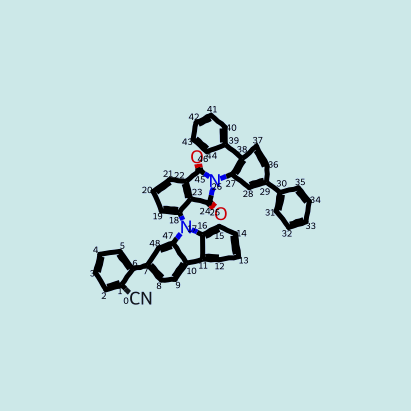 N#Cc1ccccc1-c1ccc2c3ccccc3n(-c3cccc4c3C(=O)N(c3cc(-c5ccccc5)ccc3-c3ccccc3)C4=O)c2c1